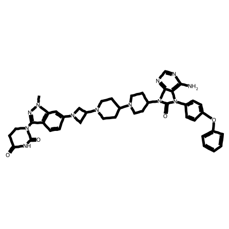 Cn1nc(N2CCC(=O)NC2=O)c2ccc(N3CC(N4CCC(N5CCC(n6c(=O)n(-c7ccc(Oc8ccccc8)cc7)c7c(N)ncnc76)CC5)CC4)C3)cc21